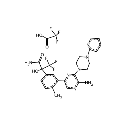 Cc1ccc(C(O)(C(N)=O)C(F)(F)F)cc1-c1cnc(N)c(N2CCN(c3ccccn3)CC2)n1.O=C(O)C(F)(F)F